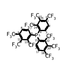 FC(F)(F)c1ccc(P(c2ccc(C(F)(F)F)c(C(F)(F)F)c2C(F)(F)F)c2ccc(C(F)(F)F)c(C(F)(F)F)c2C(F)(F)F)c(C(F)(F)F)c1C(F)(F)F